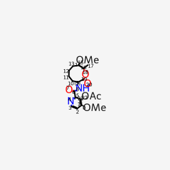 COc1ccnc(C(=O)N[C@H]2CCCCC(OC)C(C)OC2=O)c1OC(C)=O